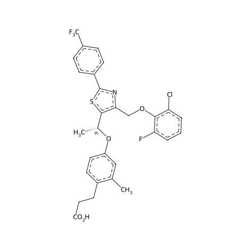 Cc1cc(O[C@H](C)c2sc(-c3ccc(C(F)(F)F)cc3)nc2COc2c(F)cccc2Cl)ccc1CCC(=O)O